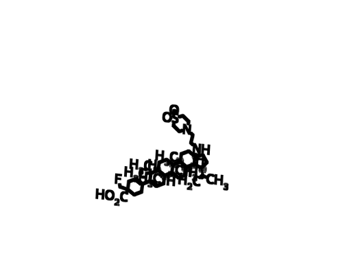 C=C(C)[C@@H]1CC[C@]2(NCCN3CCS(=O)(=O)CC3)CC[C@]3(C)[C@H](CC[C@@H]4[C@@]5(C)CC=C(C6=CCC(CF)(C(=O)O)CC6)C(C)(C)[C@@H]5CC[C@]43C)[C@@H]12